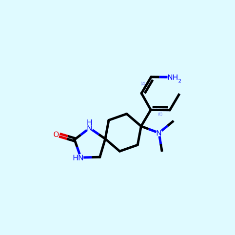 C/C=C(\C=C/N)C1(N(C)C)CCC2(CC1)CNC(=O)N2